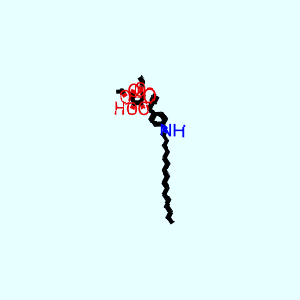 C#CC(OC(C(=O)OCC)C(O)C(=O)OCC)c1ccc(NCCCCCCCCCCCCCCCC)cc1